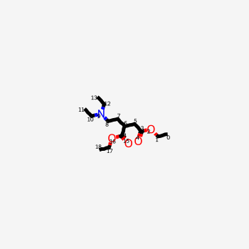 CCOC(=O)CC(CCN(CC)CC)C(=O)OCC